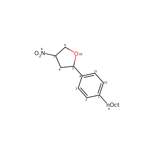 CCCCCCCCc1ccc(C2CC([N+](=O)[O-])CO2)cc1